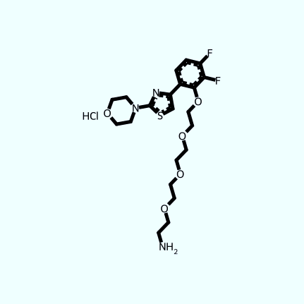 Cl.NCCOCCOCCOCCOc1c(-c2csc(N3CCOCC3)n2)ccc(F)c1F